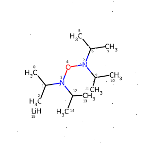 CC(C)N(ON(C(C)C)C(C)C)C(C)C.[LiH]